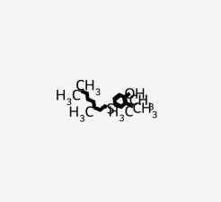 CC(C)CCCC(C)CCSc1ccc(O)c(C(C)(C)C)c1